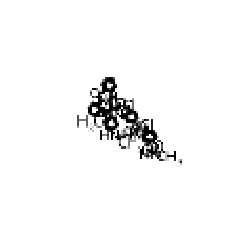 CCNc1ccc(/N=C(\C(=O)Nc2cc(S(=O)(=O)Nc3cc(S(=O)(=O)NC)ccc3Cl)ccc2Cl)c2nc3ccccc3c(=O)n2-c2ccccc2)c(C)c1